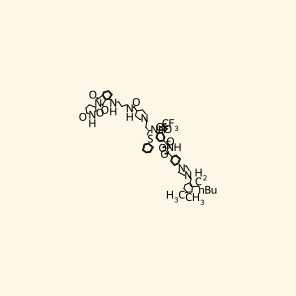 C=C(CCCC)C1=C(CN2CCN(c3ccc(C(=O)NS(=O)(=O)c4ccc(N[C@H](CCN5CCC(C(=O)NCCCNc6cccc7c6C(=O)N(C6CCC(=O)NC6=O)C7=O)CC5)CSc5ccccc5)c(S(=O)(=O)C(F)(F)F)c4)cc3)CC2)CCC(C)(C)C1